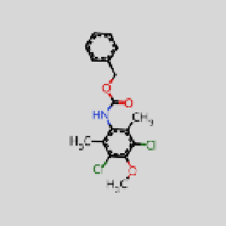 COc1c(Cl)c(C)c(NC(=O)OCc2ccccc2)c(C)c1Cl